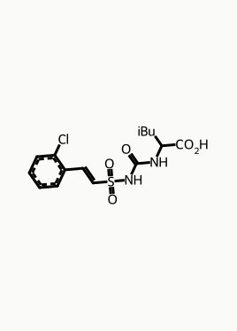 CCC(C)C(NC(=O)NS(=O)(=O)/C=C/c1ccccc1Cl)C(=O)O